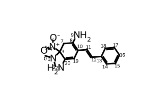 CN(C)C1([N+](=O)[O-])CC(N)=C(C=Cc2ccccc2)C=C1N